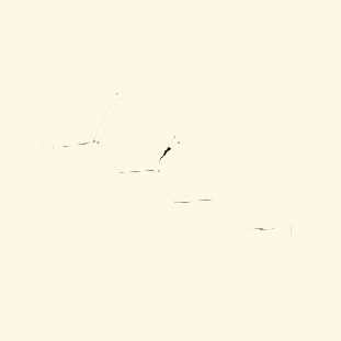 CSOC[C@H](N)CC(=O)O